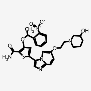 CC(Oc1cc(-c2cnc3ccc(OCCN4CCCC(O)C4)cn23)sc1C(N)=O)c1ccccc1[N+](=O)[O-]